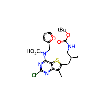 Cc1c(C[C@H](C)CNC(=O)OC(C)(C)C)sc2c(N(Cc3ccco3)C(=O)O)nc(Cl)nc12